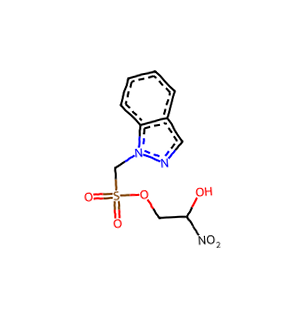 O=[N+]([O-])C(O)COS(=O)(=O)Cn1ncc2ccccc21